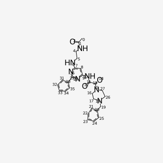 CC(=O)NCCNc1cc(NC(=O)C(=O)N2CCN(Cc3ccccc3)CC2)nc(-c2ccccc2)n1